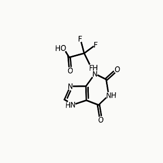 O=C(O)C(F)(F)F.O=c1[nH]c(=O)c2[nH]cnc2[nH]1